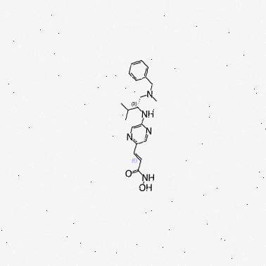 CC(C)[C@H](CN(C)Cc1ccccc1)Nc1cnc(/C=C/C(=O)NO)cn1